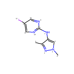 Cc1nn(C)cc1Nc1ncc(I)cn1